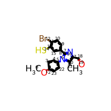 COc1ccc(-n2c(-c3ccc(Br)c(S)c3)nc(C=O)c2C)cc1